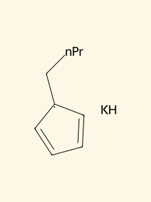 CCCC[C]1C=CC=C1.[KH]